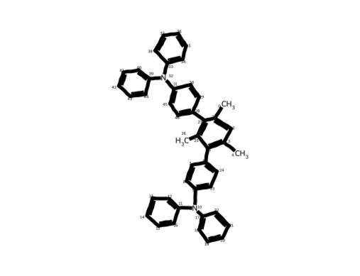 Cc1cc(C)c(-c2ccc(N(c3ccccc3)c3ccccc3)cc2)c(C)c1-c1ccc(N(c2ccccc2)c2ccccc2)cc1